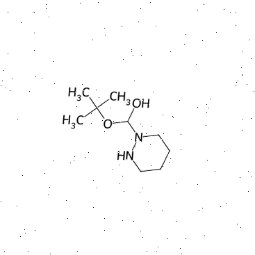 CC(C)(C)OC(O)N1CCCCN1